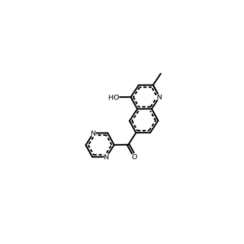 Cc1cc(O)c2cc(C(=O)c3cnccn3)ccc2n1